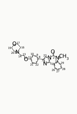 CN(C(=O)n1cnc(-c2ccc(OCCN3CCOCC3)cc2)c1)c1ccccc1